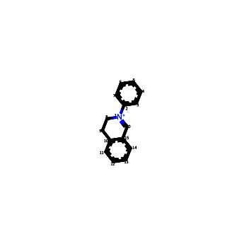 C1=[N+](c2ccccc2)CCc2ccccc21